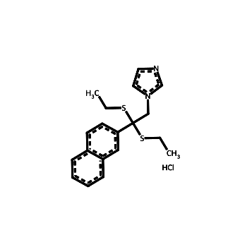 CCSC(Cn1ccnc1)(SCC)c1ccc2ccccc2c1.Cl